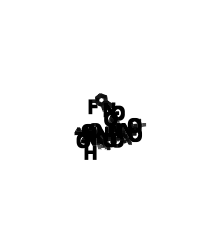 C=C[C@@H]1C[C@]1(NC(=O)[C@@H]1C[C@@](C)(OC(=O)N2Cc3cccc(F)c3C2)CN1C(=O)[C@@H](NC(=O)OC(C)(C)C)C(C)(C)C)C(=O)NS(=O)(=O)C1CC1